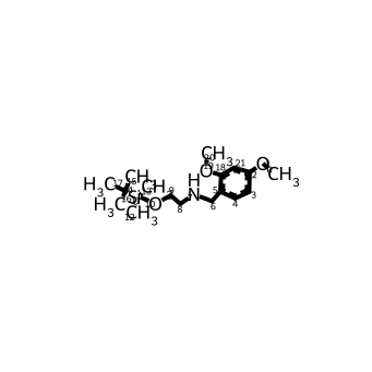 COc1ccc(CNCCO[Si](C)(C)C(C)(C)C)c(OC)c1